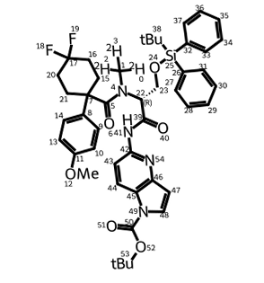 [2H]C([2H])([2H])N(C(=O)C1(c2ccc(OC)cc2)CCC(F)(F)CC1)[C@H](CO[Si](c1ccccc1)(c1ccccc1)C(C)(C)C)C(=O)Nc1ccc2c(ccn2C(=O)OC(C)(C)C)n1